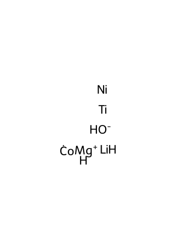 [Co].[LiH].[MgH+].[Ni].[OH-].[Ti]